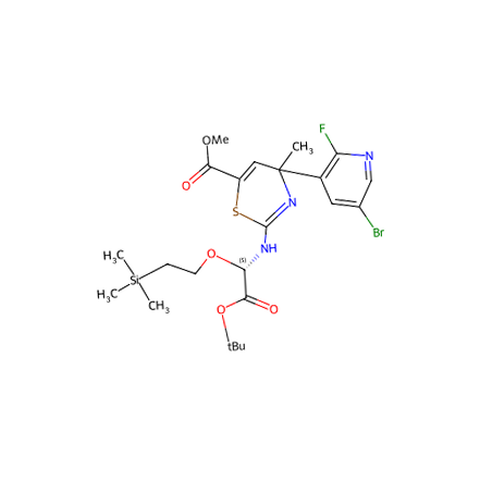 COC(=O)C1=CC(C)(c2cc(Br)cnc2F)N=C(N[C@@H](OCC[Si](C)(C)C)C(=O)OC(C)(C)C)S1